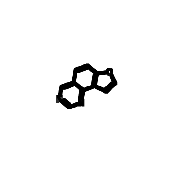 c1ncc2ccc3occc3c2n1